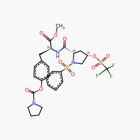 COC(=O)[C@H](Cc1ccc(OC(=O)N2CCCC2)cc1)NC(=O)[C@@H]1C[C@H](OS(=O)(=O)C(F)(F)F)CN1S(=O)(=O)c1ccccc1